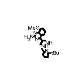 COc1cccc2c(/C(C=N)=C/NCc3cccc(C(C)(C)C)n3)nc(N)nc12